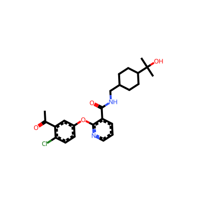 CC(=O)c1cc(Oc2ncccc2C(=O)NCC2CCC(C(C)(C)O)CC2)ccc1Cl